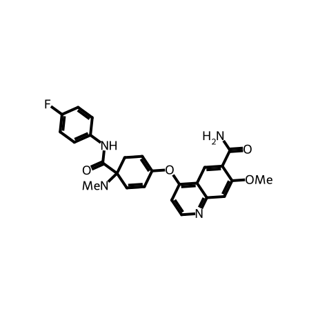 CNC1(C(=O)Nc2ccc(F)cc2)C=CC(Oc2ccnc3cc(OC)c(C(N)=O)cc23)=CC1